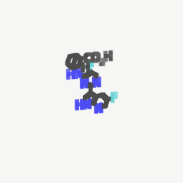 O=C(O)C1C2CCC(CC2)[C@@H]1Nc1nc(-c2c[nH]c3ncc(F)cc23)ncc1F